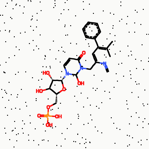 C=N/C(=C\C(=C(C)C)c1ccccc1)CN1C(=O)C=CN([C@@H]2O[C@H](COP(=O)(O)O)C(O)[C@@H]2O)C1O